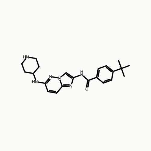 CC(C)(C)c1ccc(C(=O)Nc2cn3nc(NC4CCNCC4)ccc3n2)cc1